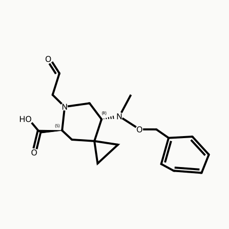 CN(OCc1ccccc1)[C@H]1CN(CC=O)[C@H](C(=O)O)CC12CC2